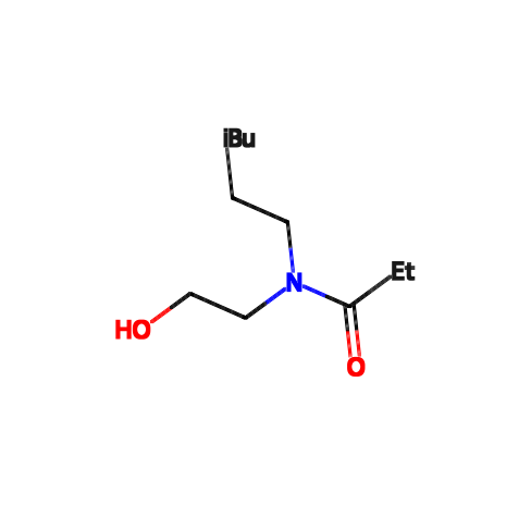 CCC(=O)N(CCO)CCC(C)CC